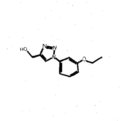 CCOc1cccc(-n2cc(CO)nn2)c1